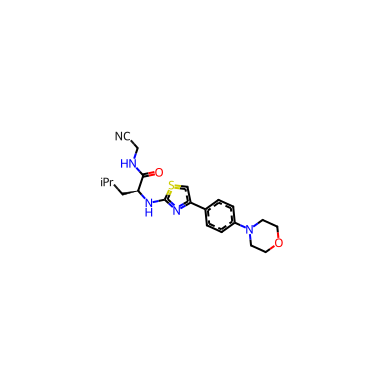 CC(C)C[C@H](Nc1nc(-c2ccc(N3CCOCC3)cc2)cs1)C(=O)NCC#N